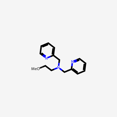 COCCN(Cc1ccccn1)Cc1ccccn1